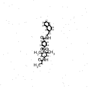 C=CC(=O)NC1CC(C)N(S(=O)(=O)c2ccc(C(=O)NCCc3ccc4ccccc4c3)cc2)C(C)C1